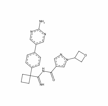 N=C(NC(=O)c1cnn(C2COC2)c1)C1(c2ccc(-c3cnc(N)nc3)cc2)CCC1